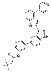 CC(C)(C)CC(=O)Nc1cncc(-c2ccc3[nH]nc(-c4nc5c(-c6ccncc6)cccc5[nH]4)c3n2)c1